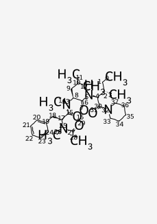 CC[C@H](C)[C@H](NC(=O)[C@H](CC(C)C)N(C)C(=O)[C@H](Cc1ccccc1)N(C)C(C)=O)C(=O)N1CCCCC1